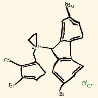 CCC1=CC[C]([Zr+2]2([CH]3c4cc(C(C)(C)C)ccc4-c4ccc(C(C)(C)C)cc43)[CH2][CH2]2)=C1CC.[Cl-].[Cl-]